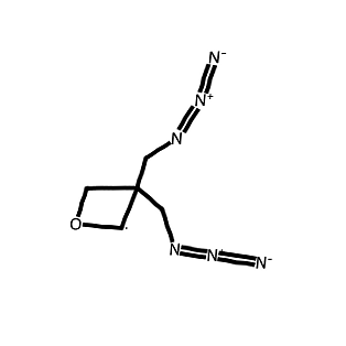 [N-]=[N+]=NCC1(CN=[N+]=[N-])[CH]OC1